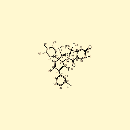 CNC(=O)C1(N2C[C@@H](C)N(C)[C@@H](C)C2)C=C(F)C(c2cccc(F)c2)=C(F)C1NC(=O)c1c[nH]c(=O)cc1C(F)(F)F